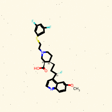 COc1ccc2nccc([C@@H](F)CC[C@@H]3CCN(CCSc4cc(F)cc(F)c4)C[C@@H]3C(=O)O)c2c1